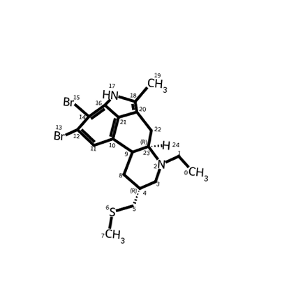 CCN1C[C@H](CSC)CC2c3cc(Br)c(Br)c4[nH]c(C)c(c34)C[C@H]21